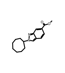 COC(=O)c1ccc2cn(C3CCCCCCC3)nc2c1